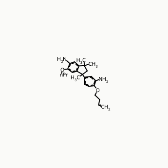 C=CCCOc1ccc(C2(C)CC(C)(C)c3cc(N)c(OCCC)cc32)cc1N